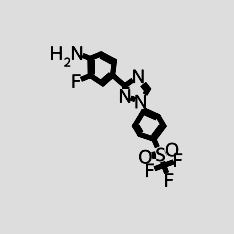 Nc1ccc(-c2ncn(-c3ccc(S(=O)(=O)C(F)(F)F)cc3)n2)cc1F